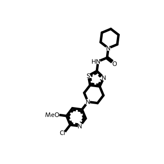 COc1cc(N2CCc3nc(NC(=O)N4CCCCC4)sc3C2)cnc1Cl